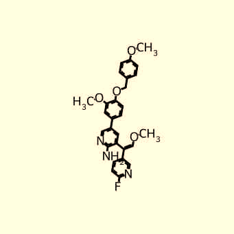 CO/C=C(/c1ccc(F)nc1)c1cc(-c2ccc(OCc3ccc(OC)cc3)c(OC)c2)cnc1N